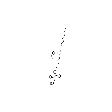 CCCCCCCCCCCCCCCCOC(=O)C(O)CO.CCO